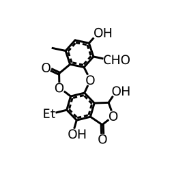 CCc1c(O)c2c(c3c1OC(=O)c1c(C)cc(O)c(C=O)c1O3)C(O)OC2=O